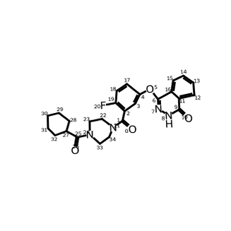 O=C(c1cc(Oc2n[nH]c(=O)c3ccccc23)ccc1F)N1CCN(C(=O)C2CCCCC2)CC1